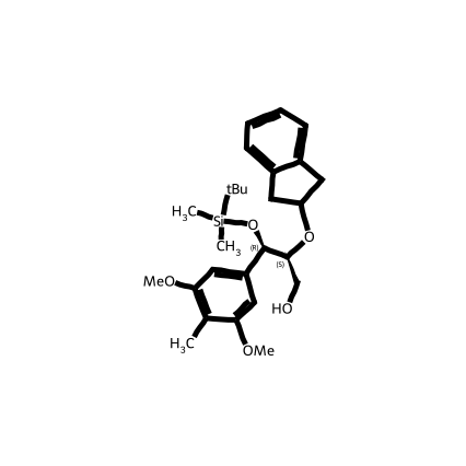 COc1cc([C@@H](O[Si](C)(C)C(C)(C)C)[C@H](CO)OC2Cc3ccccc3C2)cc(OC)c1C